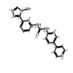 CC(C)n1cnnc1-c1cccc(NC(=O)Nc2ccc(-c3ccncc3)cn2)n1